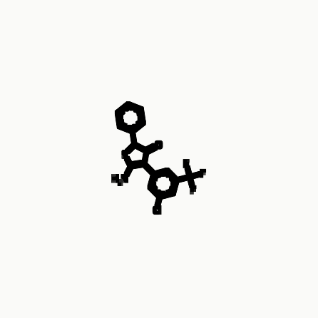 NC1=C(c2cc(Cl)cc(C(F)(F)F)c2)C(=O)C(c2ccccc2)S1